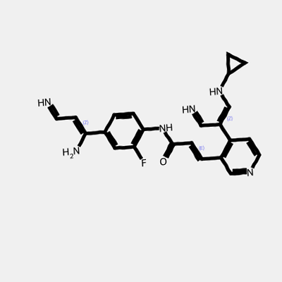 N=C/C=C(\N)c1ccc(NC(=O)/C=C/c2cnccc2/C(C=N)=C/NC2CC2)c(F)c1